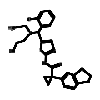 CCN(CCO)C(c1cnc(NC(=O)C2(c3ccc4c(c3)OCO4)CC2)s1)c1ccccc1Cl